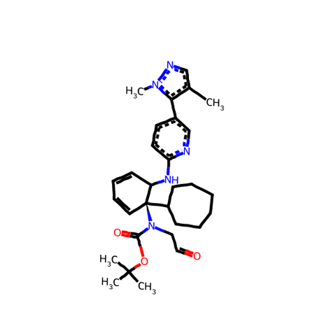 Cc1cnn(C)c1-c1ccc(NC2C=CC=C[C@]2(C2CCCCCC2)N(CC=O)C(=O)OC(C)(C)C)nc1